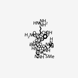 CC[C@H](C)[C@H](NC(=O)[C@H](Cc1ccc(O)cc1)NC(=O)[C@H](CC(N)=O)NC(=O)[C@@H](C)CCCNC(=N)N)C(=O)N[C@@H](Cc1c[nH]cn1)C(=O)N[C@@H](CCSC)C(=O)N[C@@H](Cc1c[nH]cn1)C(N)=O